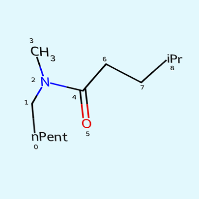 CCCCCCN(C)C(=O)CCC(C)C